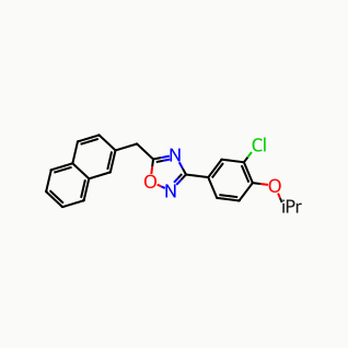 CC(C)Oc1ccc(-c2noc(Cc3ccc4ccccc4c3)n2)cc1Cl